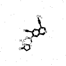 CC#Cc1cncc2cc(N(C[C@@H]3CCC(=O)N3)OC)c(C#N)cc12